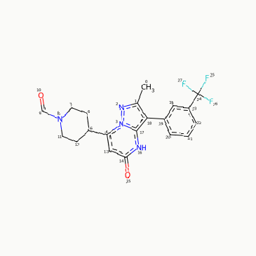 Cc1nn2c(C3CCN(C=O)CC3)cc(=O)[nH]c2c1-c1cccc(C(F)(F)F)c1